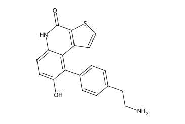 NCCc1ccc(-c2c(O)ccc3[nH]c(=O)c4sccc4c23)cc1